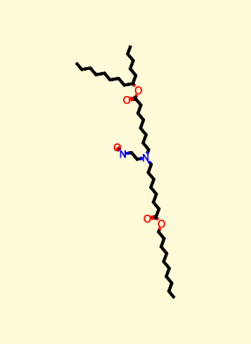 CCCCCCCCCCOC(=O)CCCCCCCN(CCCCCCCC(=O)OC(CCCCC)CCCCCCCC)CCN=O